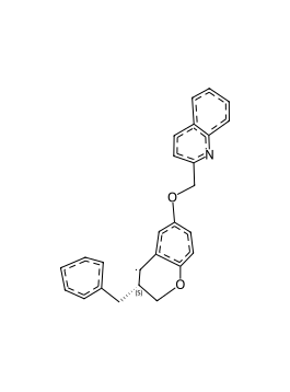 [CH]1c2cc(OCc3ccc4ccccc4n3)ccc2OC[C@@H]1Cc1ccccc1